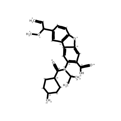 C=CC(OC)c1ccc2oc3cc(C(=O)O)c(N(C(=O)C4CCC(C)CC4)C(C)C)cc3c2c1